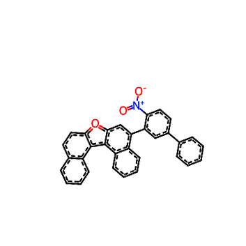 O=[N+]([O-])c1ccc(-c2ccccc2)cc1-c1cc2oc3ccc4ccccc4c3c2c2ccccc12